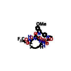 COc1ccc2c(OC3C[C@H]4C(=O)N[C@]5(C(=O)NS(=O)(=O)C6CC6)C[C@H]5/C=C\CC[C@@H](C)C[C@@H](C)[C@H](NC(=O)OC(C)(C)C(F)(F)F)C(=O)N4C3)nc(-c3ccc(N4CCOCC4)cc3)cc2c1